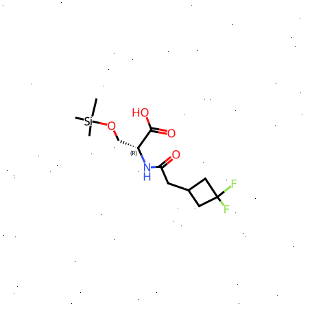 C[Si](C)(C)OC[C@@H](NC(=O)CC1CC(F)(F)C1)C(=O)O